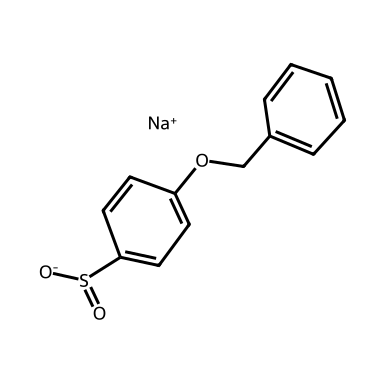 O=S([O-])c1ccc(OCc2ccccc2)cc1.[Na+]